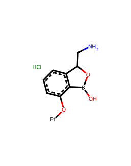 CCOc1cccc2c1B(O)OC2CN.Cl